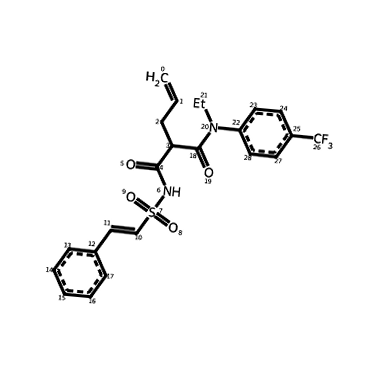 C=CCC(C(=O)NS(=O)(=O)C=Cc1ccccc1)C(=O)N(CC)c1ccc(C(F)(F)F)cc1